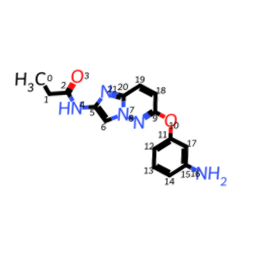 CCC(=O)Nc1cn2nc(Oc3cccc(N)c3)ccc2n1